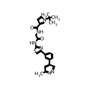 Cc1cc(-c2cccc(-c3csc(NC(=O)CNC(=O)c4ccn(C(C)(C)C)c4)n3)c2)cnn1